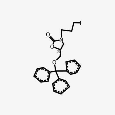 O=C1O[C@H](COC(c2ccccc2)(c2ccccc2)c2ccccc2)CN1CCCI